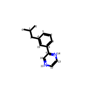 CC(C)Cc1cccc(-c2cnccn2)c1